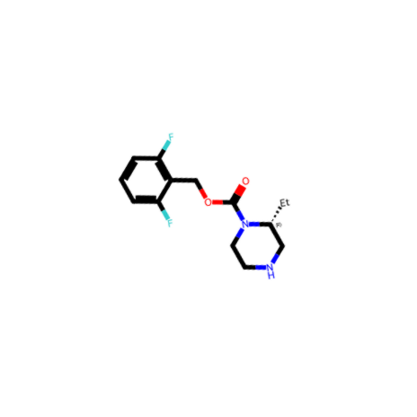 CC[C@@H]1CNCCN1C(=O)OCc1c(F)cccc1F